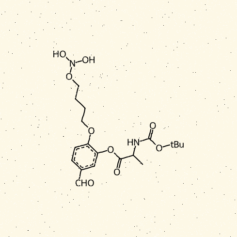 CC(NC(=O)OC(C)(C)C)C(=O)Oc1cc(C=O)ccc1OCCCCON(O)O